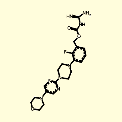 N=C(N)NC(=O)OCc1cccc(N2CCN(c3ncc(N4CCOCC4)cn3)CC2)c1F